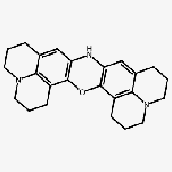 c1c2c3c(c4c1Nc1cc5c6c(c1O4)CCCN6CCC5)CCCN3CCC2